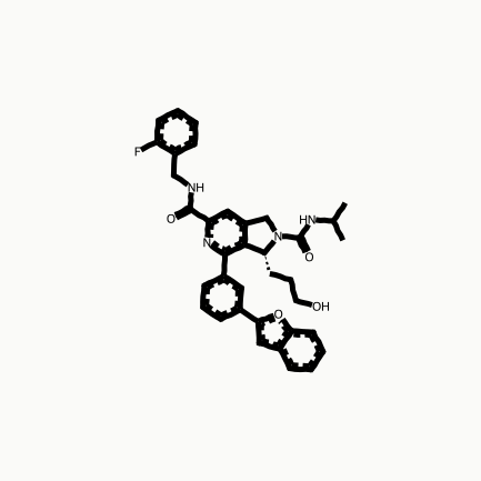 CC(C)NC(=O)N1Cc2cc(C(=O)NCc3ccccc3F)nc(-c3cccc(-c4cc5ccccc5o4)c3)c2[C@H]1CCCO